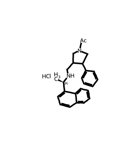 CC(=O)N1CC(CN[C@H](C)c2cccc3ccccc23)C(c2ccccc2)C1.Cl